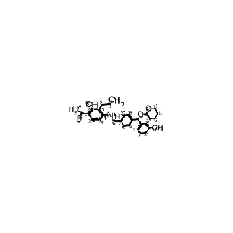 CCCc1c(NCc2ccc(C(OC3CCCCO3)c3cccc(O)c3)cc2)ccc(C(C)=O)c1O